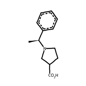 C[C@@H](c1ccccc1)N1CCC(C(=O)O)C1